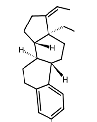 C/C=C1/CC[C@H]2[C@@H]3CCc4c[c]ccc4[C@H]3CC[C@]12CC